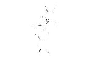 O=C(CC(=O)OF)OF.O=C(CC(=O)OF)OF.[Li+].[O-]B(O)O